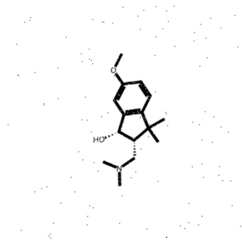 COc1ccc2c(c1)[C@@H](O)[C@@H](CN(C)C)C2(C)C